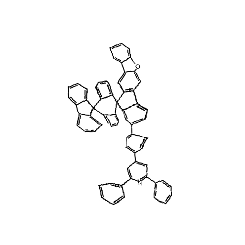 c1ccc(-c2cc(-c3ccc(-c4ccc5c(c4)C4(c6cc7c(cc6-5)oc5ccccc57)c5ccccc5C5(c6ccccc6-c6ccccc65)c5ccccc54)cc3)cc(-c3ccccc3)n2)cc1